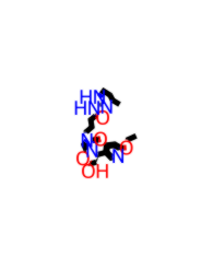 CCOc1ccc([C@H](CC(=O)O)N2CCN(CCCC(=O)NC3=NC(C)CCN3)C2=O)cn1